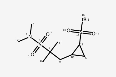 CN(C)S(=O)(=O)C(C)(C)CC1CC1S(=O)(=O)C(C)(C)C